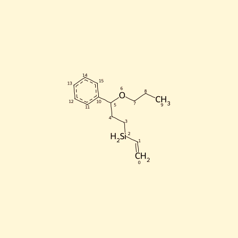 C=C[SiH2]CCC(OCCC)c1ccccc1